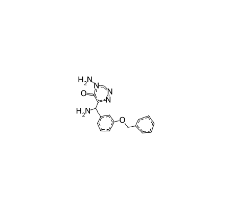 NC(c1cccc(OCc2ccccc2)c1)c1nncn(N)c1=O